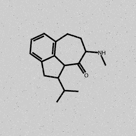 CNC1CCc2cccc3c2C(C1=O)C(C(C)C)C3